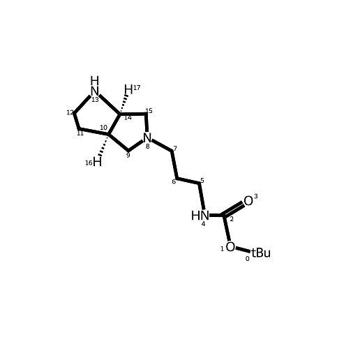 CC(C)(C)OC(=O)NCCCN1C[C@H]2CCN[C@H]2C1